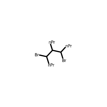 CCC[C](Br)C(CCC)C(Br)CCC